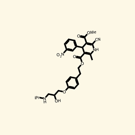 COC(=O)C1=C(C#N)NC(C)=C(C(=O)OCCc2ccc(OCC(O)CNC(C)C)cc2)C1c1cccc([N+](=O)[O-])c1